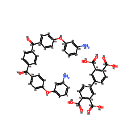 Nc1cccc(Oc2ccc(C(=O)c3ccc(C(=O)c4ccc(Oc5cccc(N)c5)cc4)cc3)cc2)c1.O=C(O)c1ccc(-c2ccc(C(=O)O)c(C(=O)O)c2)cc1C(=O)O